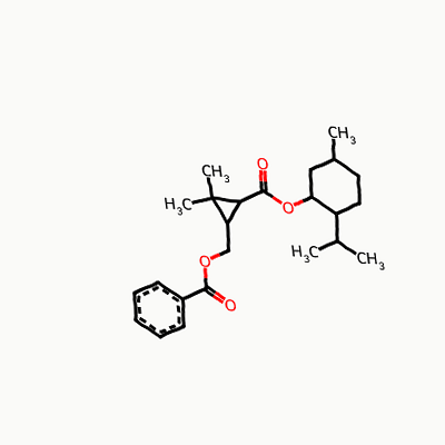 CC1CCC(C(C)C)C(OC(=O)C2C(COC(=O)c3ccccc3)C2(C)C)C1